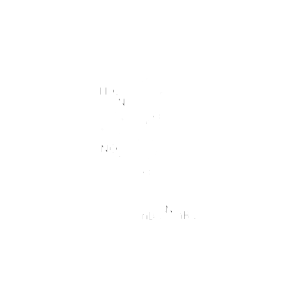 CCCCN(CCCC)CCCOc1ccc(C(=O)c2c(-c3ccccc3)n(C)c3ccc([N+](=O)[O-])cc23)cc1